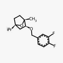 CC(C)[C@@]12CC[C@@](C)(O1)[C@@H](OCc1ccc(F)c(F)c1)C2